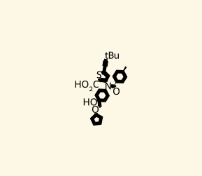 CC(C)(C)C#Cc1cc(N(C(=O)[C@H]2CC[C@H](C)CC2)[C@H]2CC[C@@](O)(COC3CCCC3)CC2)c(C(=O)O)s1